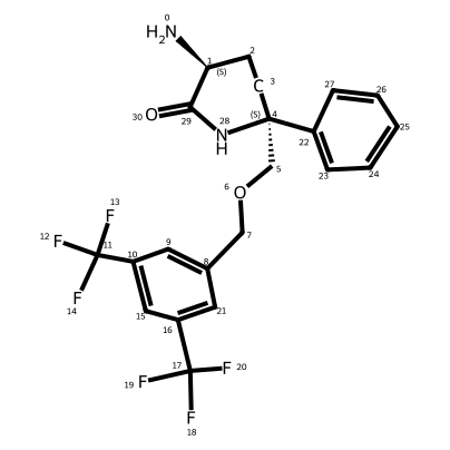 N[C@H]1CC[C@@](COCc2cc(C(F)(F)F)cc(C(F)(F)F)c2)(c2ccccc2)NC1=O